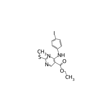 CCOC(=O)c1cnc(SC)nc1Nc1ccc(I)cc1